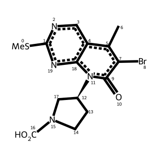 CSc1ncc2c(C)c(Br)c(=O)n([C@H]3CCN(C(=O)O)C3)c2n1